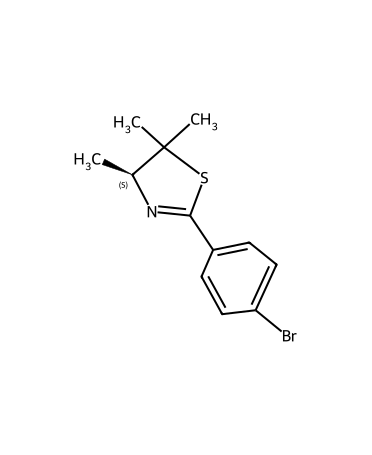 C[C@@H]1N=C(c2ccc(Br)cc2)SC1(C)C